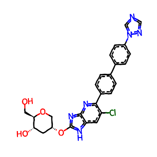 OC[C@H]1OC[C@H](Oc2nc3nc(-c4ccc(-c5ccc(-n6cncn6)cc5)cc4)c(Cl)cc3[nH]2)C[C@@H]1O